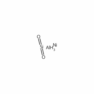 O=[Si]=O.[AlH3].[Ni]